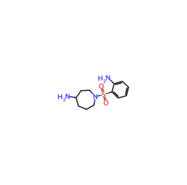 Nc1ccccc1S(=O)(=O)N1CCCC(N)CC1